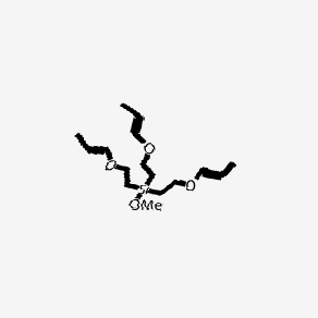 CC=COCC[Si](CCOC=CC)(CCOC=CC)OC